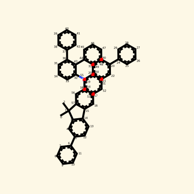 CC1(C)c2cc(-c3ccccc3)ccc2-c2ccc(N(c3ccc(-c4ccccc4)cc3)c3cccc(-c4ccccc4)c3-c3ccccc3-c3ccccc3)cc21